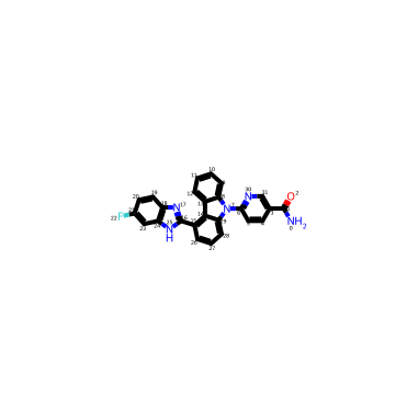 NC(=O)c1ccc(-n2c3ccccc3c3c(-c4nc5ccc(F)cc5[nH]4)cccc32)nc1